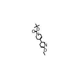 CCOC1=CCC(C2=CCN(C(=O)OC(C)(C)C)CC2)C=N1